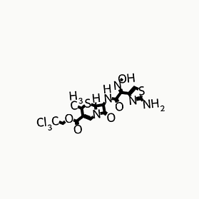 CC1S[C@@H]2C(NC(=O)C(=NO)c3csc(N)n3)C(=O)N2C=C1C(=O)OCC(Cl)(Cl)Cl